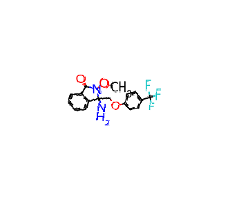 CON1C(=O)c2ccccc2C1(N)COc1ccc(C(F)(F)F)cc1